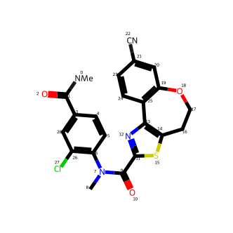 CNC(=O)c1ccc(N(C)C(=O)c2nc3c(s2)CCOc2cc(C#N)ccc2-3)c(Cl)c1